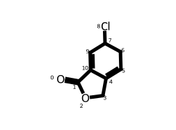 O=C1OCC2=CCC(Cl)C=C12